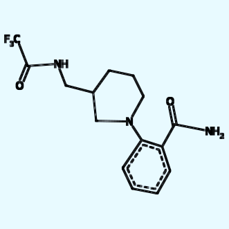 NC(=O)c1ccccc1N1CCCC(CNC(=O)C(F)(F)F)C1